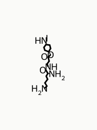 NCCCC[C@H](N)C(=O)NCCC(=O)O[C@H]1CC[C@H](NI)CC1